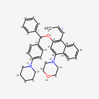 C/C=C\c1c(OC(c2ccccc2)c2ccc(N3CCCCC3)cc2)cc(N2CCOCC2)c2ccccc12